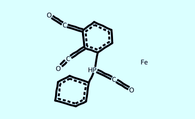 O=C=c1cccc([PH](=C=O)c2ccccc2)c1=C=O.[Fe]